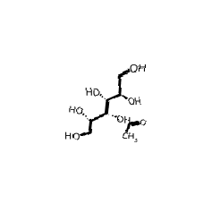 CC=O.OC[C@@H](O)[C@@H](O)[C@H](O)[C@@H](O)CO